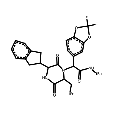 CC(C)CC1C(=O)NC(C2Cc3ccccc3C2)C(=O)N1C(C(=O)NC(C)(C)C)c1ccc2c(c1)OC(F)(F)O2